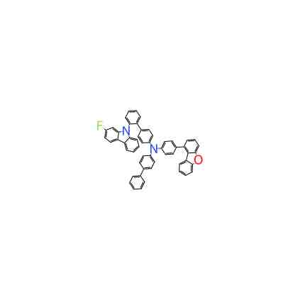 Fc1ccc2c3ccccc3n(-c3ccccc3-c3ccc(N(c4ccc(-c5ccccc5)cc4)c4ccc(-c5cccc6oc7ccccc7c56)cc4)cc3)c2c1